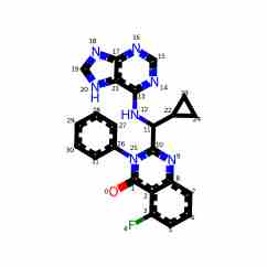 O=c1c2c(F)cccc2nc(C(Nc2ncnc3nc[nH]c23)C2CC2)n1-c1ccccc1